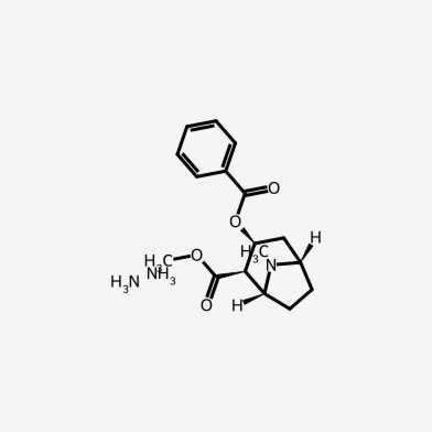 COC(=O)[C@H]1[C@@H](OC(=O)c2ccccc2)C[C@@H]2CC[C@H]1N2C.N.N